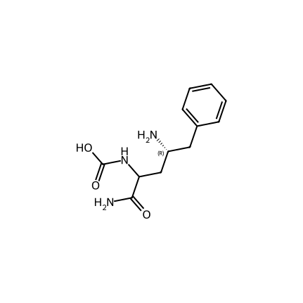 NC(=O)C(C[C@H](N)Cc1ccccc1)NC(=O)O